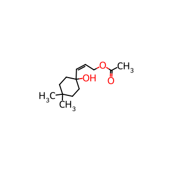 CC(=O)OC/C=C\C1(O)CCC(C)(C)CC1